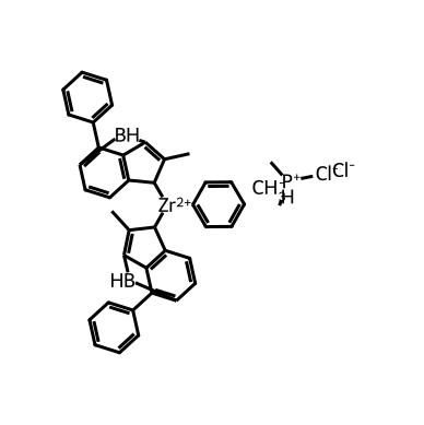 CC1=C2Bc3ccc(c2c3-c2ccccc2)[CH]1[Zr+2]([c]1ccccc1)[CH]1C(C)=C2Bc3ccc1c2c3-c1ccccc1.C[PH+](C)C.[CH3-].[Cl-].[Cl-]